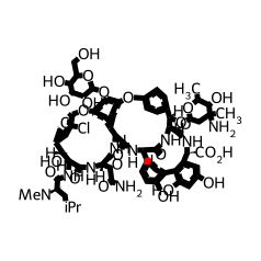 CN[C@H](CC(C)C)C(=O)N[C@H]1C(=O)N[C@@H](CC(N)=O)C(=O)N[C@H]2C(=O)N[C@H]3C(=O)N[C@H](C(=O)N[C@H](C(=O)O)c4cc(O)cc(O)c4-c4cc3ccc4O)[C@H](OC3CC(C)(N)C(O)C(C)O3)c3ccc(cc3)Oc3cc2cc(c3OC2OC(CO)C(O)C(O)C2O)Oc2ccc(cc2Cl)[C@H]1O